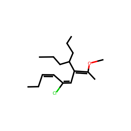 CC\C=C/C(Cl)=C\C(=C(/C)OC)C(CCC)CCC